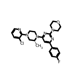 C[C@@H]1CN(c2ncccc2Cl)CCN1c1cc(-c2ccc(F)cc2)nc(N2CCOCC2)n1